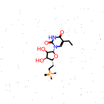 C=P(C)(C)CC[C@H]1O[C@@H](n2cc(CC)c(=O)[nH]c2=O)C(O)[C@@H]1O